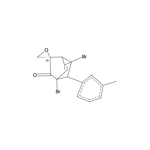 Cc1cccc(C2CC3C(Br)=CC2(Br)C(=O)[C@]32CO2)c1